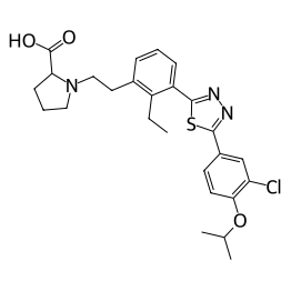 CCc1c(CCN2CCCC2C(=O)O)cccc1-c1nnc(-c2ccc(OC(C)C)c(Cl)c2)s1